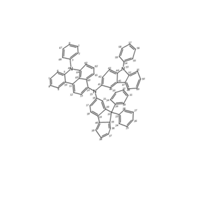 c1ccc(N2c3ccccc3-c3ccc(N(c4ccc5c(c4)C(c4ccccc4)(c4ccccc4)c4ccccc4-5)c4ccc5c(c4)c4ccccc4n5-c4ccccc4)c4cccc2c34)cc1